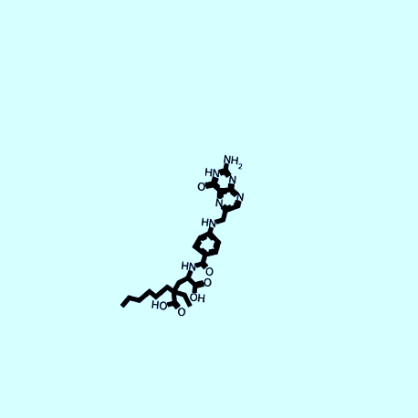 CCCCCCC(CC)(CC(NC(=O)c1ccc(NCc2cnc3nc(N)[nH]c(=O)c3n2)cc1)C(=O)O)C(=O)O